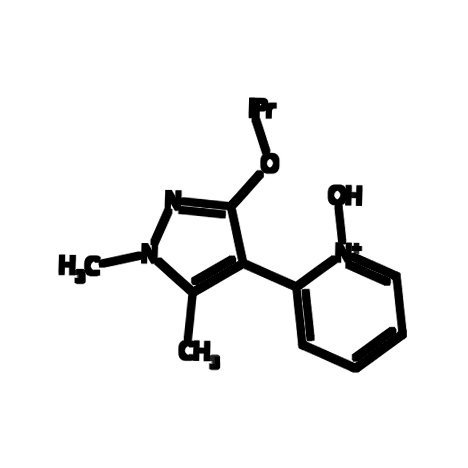 Cc1c(-c2cccc[n+]2O)c(OC(C)C)nn1C